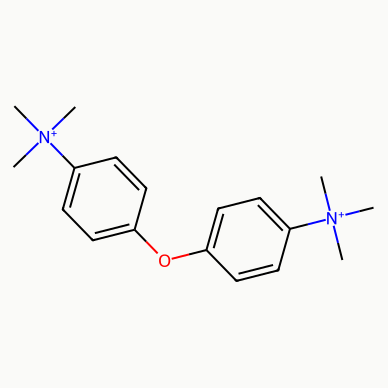 C[N+](C)(C)c1ccc(Oc2ccc([N+](C)(C)C)cc2)cc1